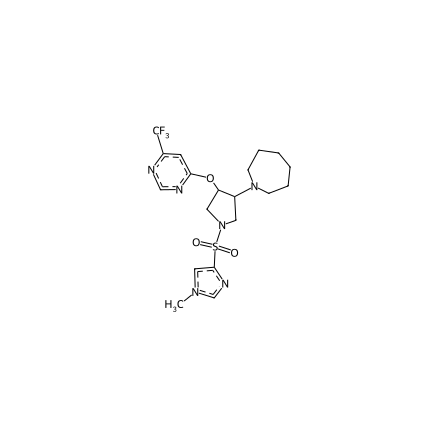 Cn1cnc(S(=O)(=O)N2CC(Oc3cc(C(F)(F)F)ncn3)C(N3CCCCCC3)C2)c1